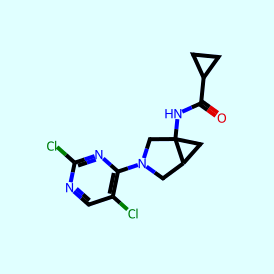 O=C(NC12CC1CN(c1nc(Cl)ncc1Cl)C2)C1CC1